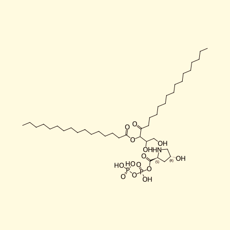 CCCCCCCCCCCCCCCC(=O)OC(C(=O)CCCCCCCCCCCCCCC)C(O)CO.O=C(OP(=O)(O)OP(=O)(O)O)[C@@H]1C[C@@H](O)CN1